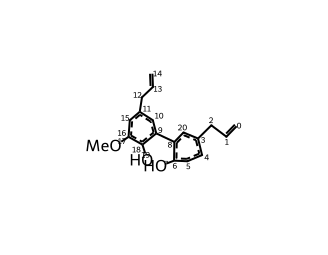 C=CCc1ccc(O)c(-c2cc(CC=C)cc(OC)c2O)c1